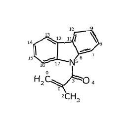 C=C(C)C(=O)n1c2ccccc2c2ccccc21